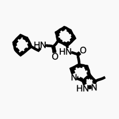 Cc1n[nH]c2ncc(C(=O)Nc3ccccc3C(=O)NCc3ccccc3)cc12